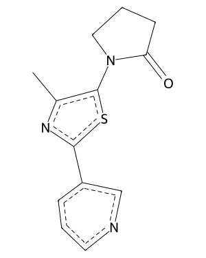 Cc1nc(-c2cccnc2)sc1N1CCCC1=O